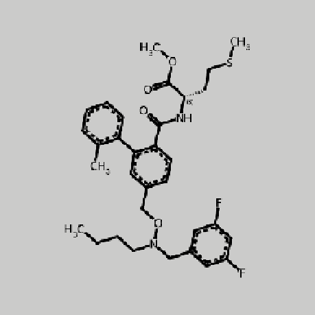 CCCCN(Cc1cc(F)cc(F)c1)OCc1ccc(C(=O)N[C@@H](CCSC)C(=O)OC)c(-c2ccccc2C)c1